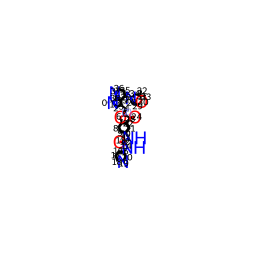 Cn1cc(/C=C2\Oc3ccc(NC(=O)Nc4cccnc4)cc3C2=O)c2c(N3CCOC(C)(C)C3)ccnc21